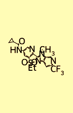 CCS(=O)(=O)c1cc(NC(=O)C2CC2)cnc1-c1nc2cc(C(F)(F)F)ncc2n1C